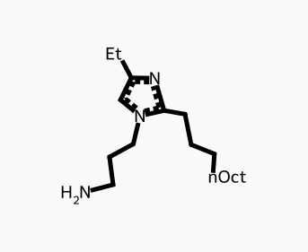 CCCCCCCCCCCc1nc(CC)cn1CCCN